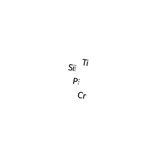 [Cr].[P].[Si].[Ti]